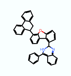 c1ccc(C2=c3ccccc3=NC(c3cccc4oc5c(C6Cc7ccccc7-c7ccccc76)cccc5c34)N2)cc1